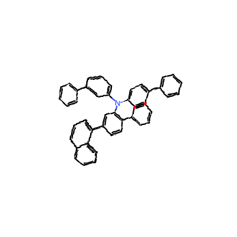 c1ccc(-c2ccc(N(c3cccc(-c4ccccc4)c3)c3cc(-c4cccc5ccccc45)ccc3-c3ccccc3)cc2)cc1